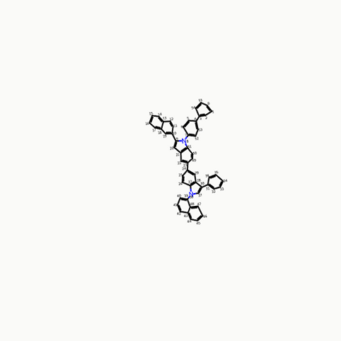 c1ccc(-c2ccc(-n3c(-c4ccc5ccccc5c4)cc4cc(-c5ccc6c(c5)c(-c5ccccc5)cn6-c5cccc6ccccc56)ccc43)cc2)cc1